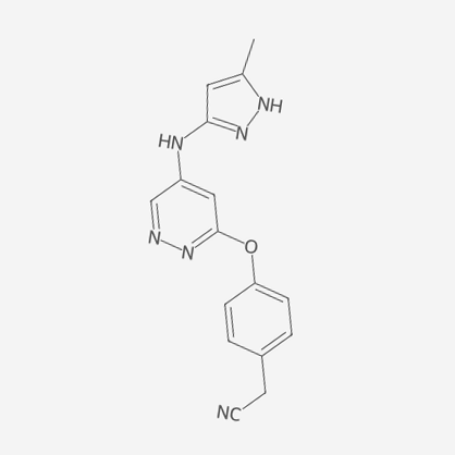 Cc1cc(Nc2cnnc(Oc3ccc(CC#N)cc3)c2)n[nH]1